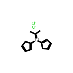 C[C](C)=[Ti+2]([C]1=CC=CC1)[C]1=CC=CC1.[Cl-].[Cl-]